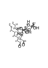 CCCCCCCC=O.CCCCCCCC=O.OP(O)(O)=S.OP(O)(O)=S